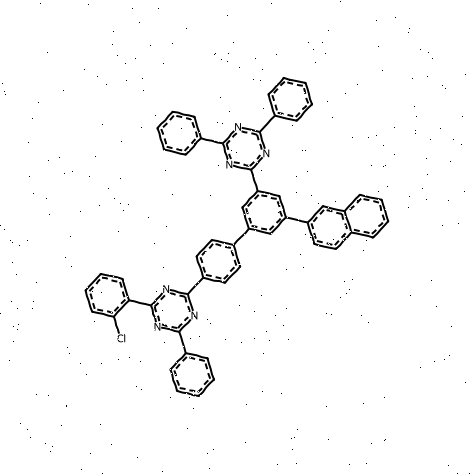 Clc1ccccc1-c1nc(-c2ccccc2)nc(-c2ccc(-c3cc(-c4ccc5ccccc5c4)cc(-c4nc(-c5ccccc5)nc(-c5ccccc5)n4)c3)cc2)n1